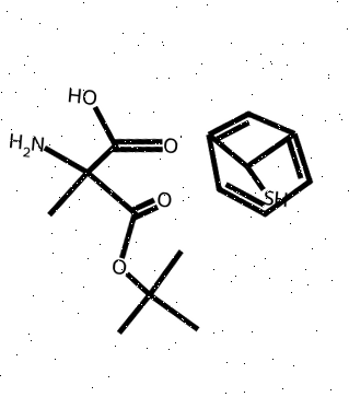 CC(C)(C)OC(=O)C(C)(N)C(=O)O.SC1c2cccc1c2